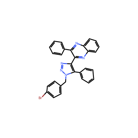 Brc1ccc(Cn2nnc(-c3nc4ccccc4nc3-c3ccccc3)c2-c2ccccc2)cc1